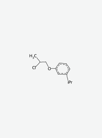 CC(Cl)COc1cccc(C(C)C)c1